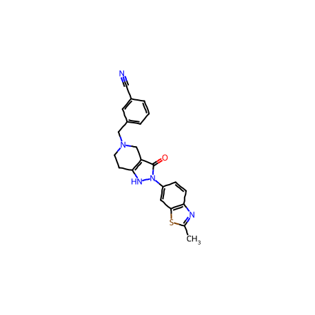 Cc1nc2ccc(-n3[nH]c4c(c3=O)CN(Cc3cccc(C#N)c3)CC4)cc2s1